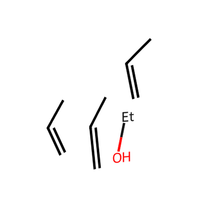 C=CC.C=CC.C=CC.CCO